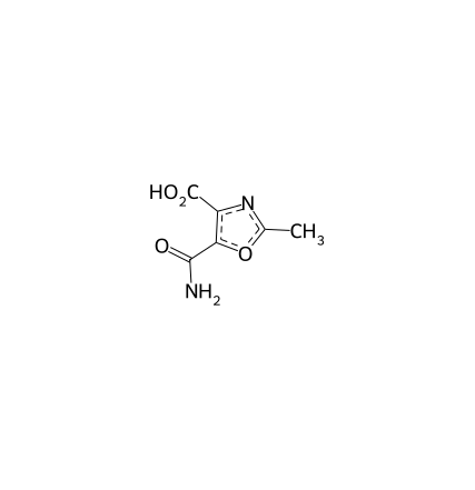 Cc1nc(C(=O)O)c(C(N)=O)o1